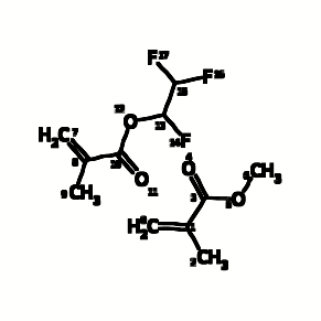 C=C(C)C(=O)OC.C=C(C)C(=O)OC(F)C(F)F